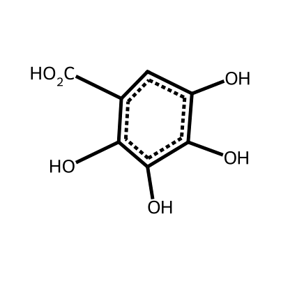 O=C(O)c1cc(O)c(O)c(O)c1O